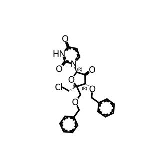 O=C1[C@H](n2ccc(=O)[nH]c2=O)O[C@](CCl)(COCc2ccccc2)[C@H]1OCc1ccccc1